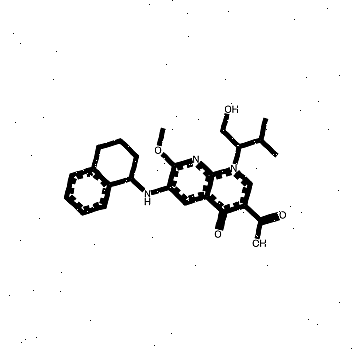 COc1nc2c(cc1NC1CCCc3ccccc31)c(=O)c(C(=O)O)cn2C(CO)C(C)C